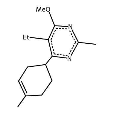 CCc1c(OC)nc(C)nc1C1CC=C(C)CC1